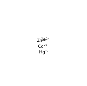 [Cd+2].[Hg+].[Te-2].[Zn+2]